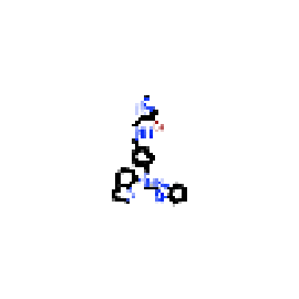 Cn1cc(Br)c(CNCc2ccc(CN(Cc3nc4ccccc4[nH]3)C3CCCc4cccnc43)cc2)n1